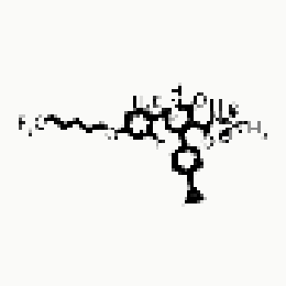 C[C@@]1(c2ccc(OCCCCCC(F)(F)F)cc2F)CC(c2ccc(C3CC3)cc2)=C(C(=O)NS(C)(=O)=O)C(=O)N1